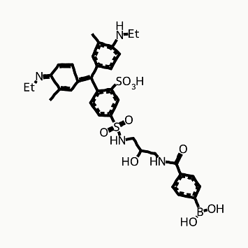 CC/N=C1C=C/C(=C(\c2ccc(NCC)c(C)c2)c2ccc(S(=O)(=O)NCC(O)CNC(=O)c3ccc(B(O)O)cc3)cc2S(=O)(=O)O)C=C/1C